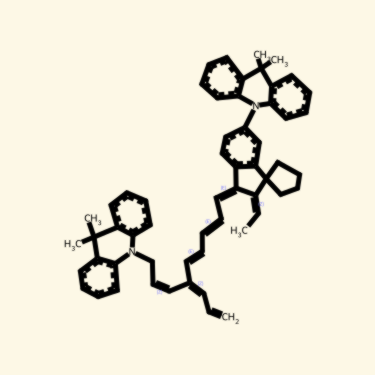 C=C/C=C(\C=C/CN1c2ccccc2C(C)(C)c2ccccc21)/C=C/C=C/C=C1\C(=C/C)C2(CCCC2)c2cc(N3c4ccccc4C(C)(C)c4ccccc43)ccc21